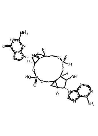 Nc1nc2c(ncn2[C@@H]2S[C@@H]3COP(=O)(S)O[C@H]4[C@@H](O)[C@H](n5cnc6c(N)ncnc65)[C@H]5CC54COP(=O)(O)O[C@@H]2[C@@H]3O)c(=O)[nH]1